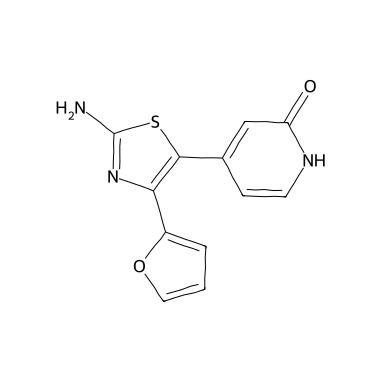 Nc1nc(-c2ccco2)c(-c2cc[nH]c(=O)c2)s1